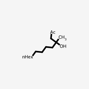 CCCCCCCCCCC(C)(O)CC(C)=O